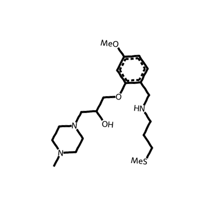 COc1ccc(CNCCCSC)c(OCC(O)CN2CCN(C)CC2)c1